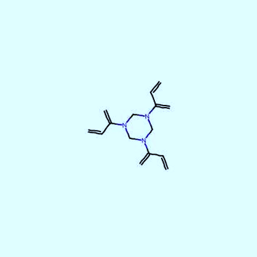 C=CC(=C)N1CN(C(=C)C=C)CN(C(=C)C=C)C1